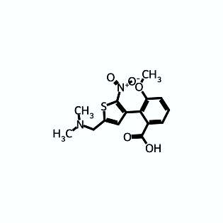 COc1cccc(C(=O)O)c1-c1cc(CN(C)C)sc1[N+](=O)[O-]